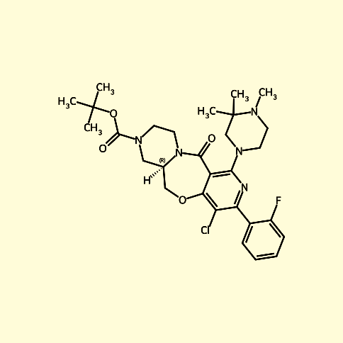 CN1CCN(c2nc(-c3ccccc3F)c(Cl)c3c2C(=O)N2CCN(C(=O)OC(C)(C)C)C[C@@H]2CO3)CC1(C)C